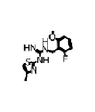 COc1cccc(F)c1CNC(=N)Nc1nc(C)cs1